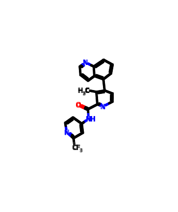 Cc1c(-c2cccc3ncccc23)ccnc1C(=O)Nc1ccnc(C(F)(F)F)c1